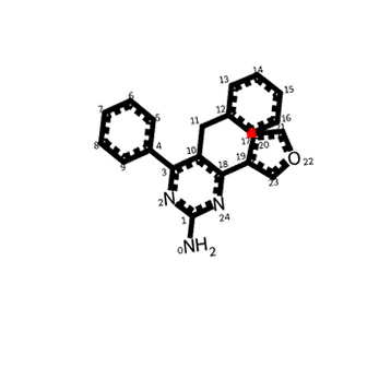 Nc1nc(-c2ccccc2)c(Cc2ccccc2)c(-c2ccoc2)n1